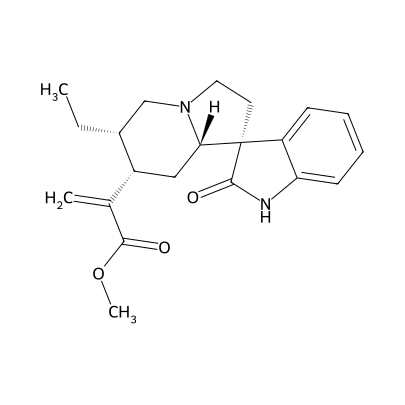 C=C(C(=O)OC)[C@H]1C[C@@H]2N(CC[C@]23C(=O)Nc2ccccc23)C[C@H]1CC